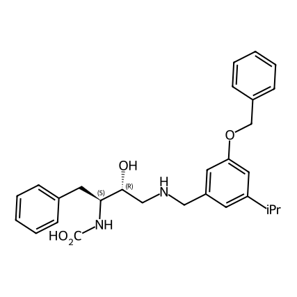 CC(C)c1cc(CNC[C@@H](O)[C@H](Cc2ccccc2)NC(=O)O)cc(OCc2ccccc2)c1